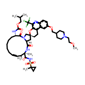 COCCN1CCC(COc2ccc3nc(C(F)(F)F)c4c(c3c2)CC[C@]2(C[C@H]3C(=O)N[C@@](C)(C(=O)NS(=O)(=O)C5(C)CC5)[C@@H](C)/C=C\CCCCC[C@H](NC(=O)OCC(C)C)C(=O)N3C2)O4)CC1